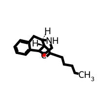 CCCCCC1CC[C@]23CCN[C@H](Cc4ccccc42)[C@@H]3C1